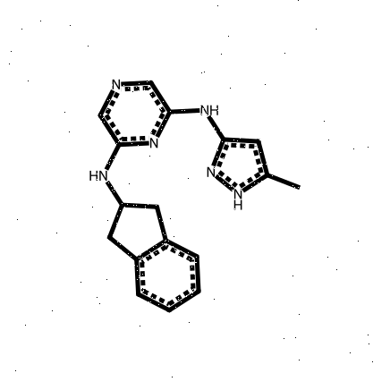 Cc1cc(Nc2cncc(NC3Cc4ccccc4C3)n2)n[nH]1